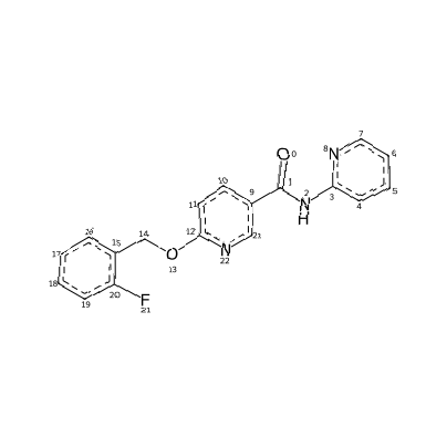 O=C(Nc1ccccn1)c1ccc(OCc2ccccc2F)nc1